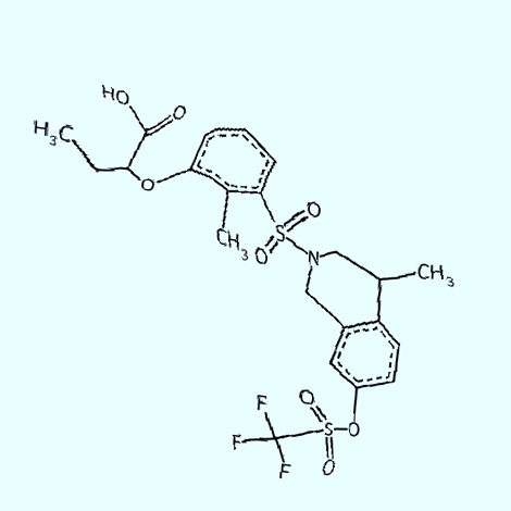 CCC(Oc1cccc(S(=O)(=O)N2Cc3cc(OS(=O)(=O)C(F)(F)F)ccc3C(C)C2)c1C)C(=O)O